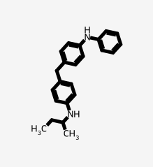 CCC(C)Nc1ccc(Cc2ccc(Nc3ccccc3)cc2)cc1